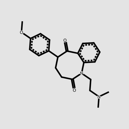 COc1ccc(C2CCC(=O)N(CCN(C)C)c3ccccc3C2=O)cc1